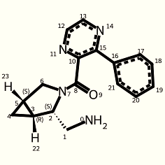 NC[C@@H]1[C@@H]2C[C@@H]2CN1C(=O)c1nccnc1-c1ccccc1